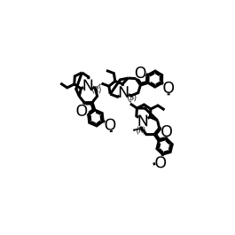 CCC1CC2CC3c4oc5ccc(OC)cc5c4C[C@@H](CC4C5CC6c7oc8ccc(OC)cc8c7C[C@H](CC78CC(CC)C9C(C7)c7oc%10ccc(OC)cc%10c7C[C@@H](C)N9C8)N(C5)C6C4CC)N(C2)C13